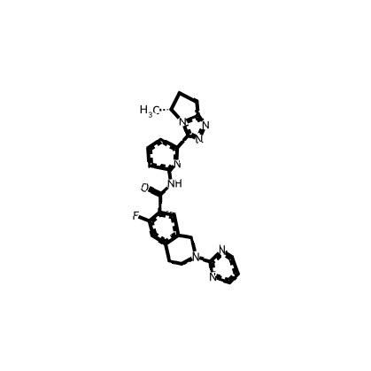 C[C@@H]1CCc2nnc(-c3cccc(NC(=O)c4cc5c(cc4F)CCN(c4ncccn4)C5)n3)n21